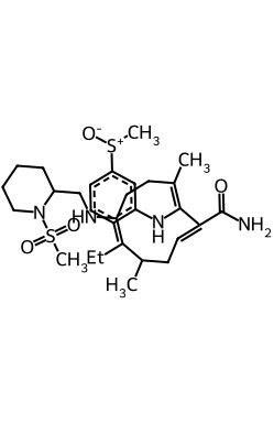 CC/C1=C(\NCC2CCCCN2S(C)(=O)=O)CC/C(C)=C(Nc2cccc([S+](C)[O-])c2)/C(C(N)=O)=C/CC1C